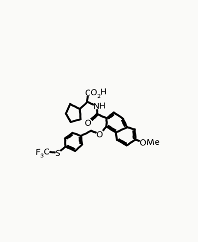 COc1ccc2c(OCc3ccc(SC(F)(F)F)cc3)c(C(=O)NC(C(=O)O)C3CCCC3)ccc2c1